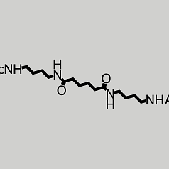 CC(=O)NCCCCNC(=O)CCCCC(=O)NCCCCNC(C)=O